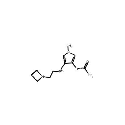 Cn1cc(NCCN2CCC2)c(OC(=O)C(F)(F)F)n1